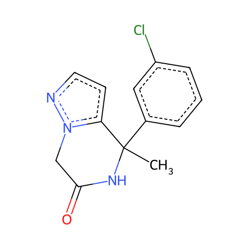 CC1(c2cccc(Cl)c2)NC(=O)Cn2nccc21